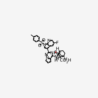 Cc1ccc(S(=O)(=O)n2cc(-c3nc(N[C@@H]4[C@@H](C(=O)O)[C@H]5CC[C@@H]4C(F)(F)C5)c4cccn4n3)c3cc(F)cnc32)cc1